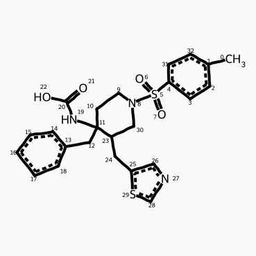 Cc1ccc(S(=O)(=O)N2CCC(Cc3ccccc3)(NC(=O)O)C(Cc3cncs3)C2)cc1